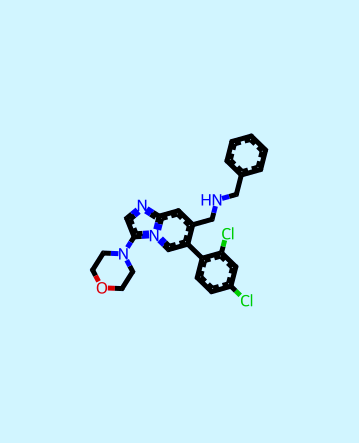 Clc1ccc(-c2cn3c(N4CCOCC4)cnc3cc2CNCc2ccccc2)c(Cl)c1